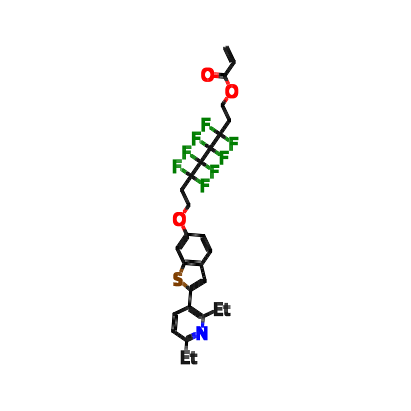 C=CC(=O)OCCC(F)(F)C(F)(F)C(F)(F)C(F)(F)CCOc1ccc2cc(-c3ccc(CC)nc3CC)sc2c1